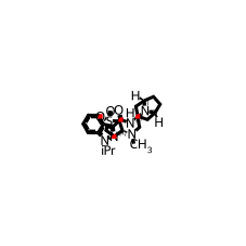 CC(C)n1nc(C(=O)N[C@@H]2C[C@H]3CC[C@@H](C2)N3CCN(C)[C@@H]2CCS(=O)(=O)C2)c2ccccc21